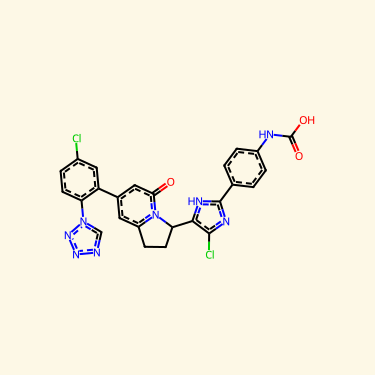 O=C(O)Nc1ccc(-c2nc(Cl)c(C3CCc4cc(-c5cc(Cl)ccc5-n5cnnn5)cc(=O)n43)[nH]2)cc1